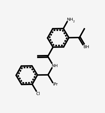 B=C(C)c1cc(C(=C)NC(c2ccccc2Cl)C(C)C)ccc1N